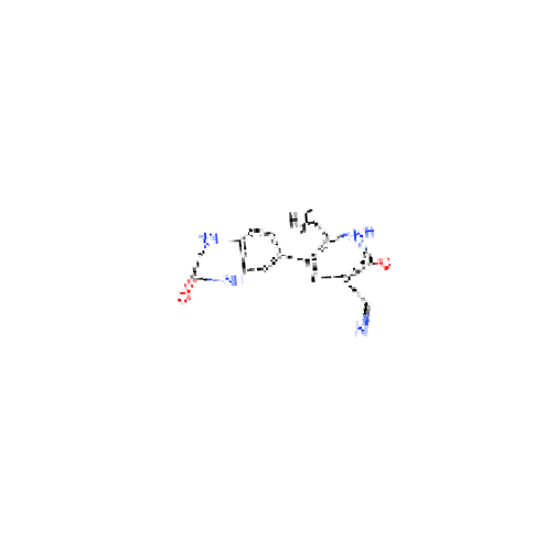 Cc1[nH]c(=O)c(C#N)cc1-c1ccc2c(c1)NC(=O)CN2